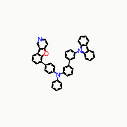 c1ccc(N(c2ccc(-c3cccc4c3oc3ccncc34)cc2)c2cccc(-c3cccc(-n4c5ccccc5c5ccccc54)c3)c2)cc1